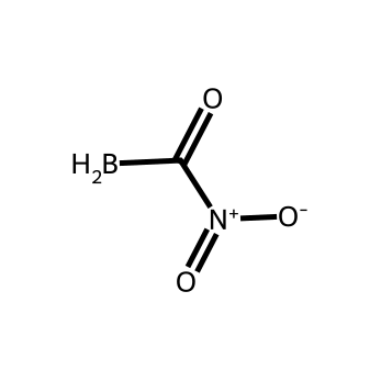 BC(=O)[N+](=O)[O-]